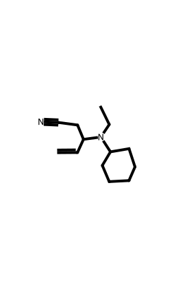 C=CC(CC#N)N(CC)C1CCCCC1